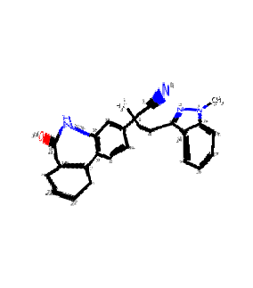 Cn1nc(CC(C)(C#N)c2ccc3c4c(c(=O)[nH]c3c2)CCCC4)c2ccccc21